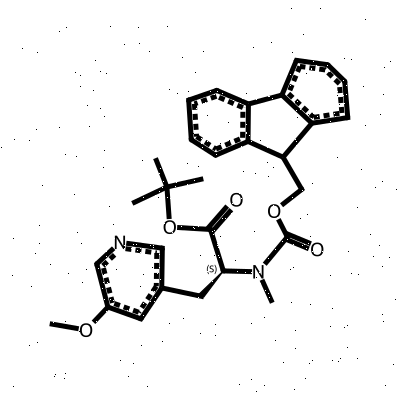 COc1cncc(C[C@@H](C(=O)OC(C)(C)C)N(C)C(=O)OCC2c3ccccc3-c3ccccc32)c1